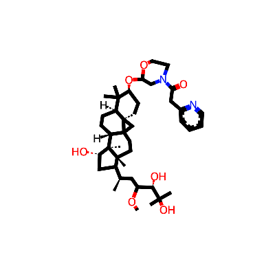 COC(C[C@@H](C)C1C[C@H](O)[C@@]2(C)[C@@H]3CC[C@H]4C(C)(C)[C@@H](OC5CN(C(=O)Cc6ccccn6)CCO5)CC[C@@]45CC35CC[C@]12C)[C@H](O)C(C)(C)O